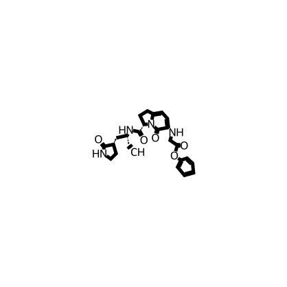 C#C[C@H](C[C@@H]1CCNC1=O)NC(=O)[C@@H]1CCc2ccc(NCC(=O)Oc3ccccc3)c(=O)n21